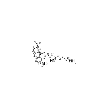 CN(C)c1ccc2cc3ccc(N(C)C)cc3[n+](CCCCCC(=N)CCCCCN)c2c1